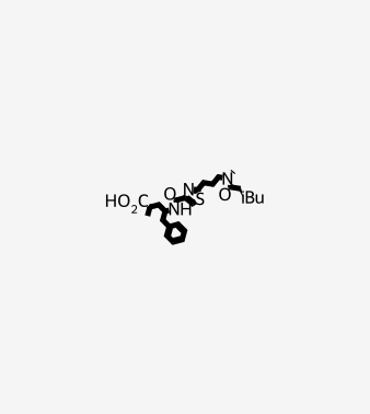 CC[C@H](C)CC(=O)N(C)CCCc1nc(C(=O)NC(Cc2ccccc2)CC(C)C(=O)O)cs1